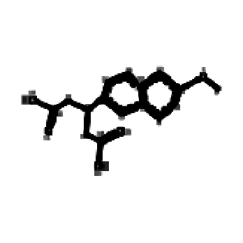 COc1ccc2cc(C(CC(=O)O)CC(=O)O)ccc2c1